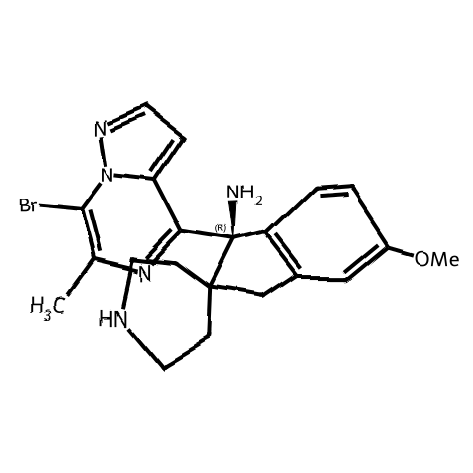 COc1ccc2c(c1)CC1(CCNCC1)[C@]2(N)c1nc(C)c(Br)n2nccc12